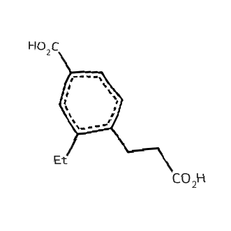 CCc1cc(C(=O)O)ccc1CCC(=O)O